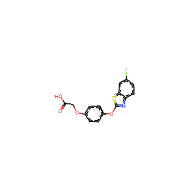 O=C(O)COc1ccc(Oc2nc3ccc(F)cc3s2)cc1